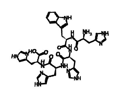 N[C@@H](Cc1c[nH]cn1)C(=O)N[C@@H](Cc1c[nH]c2ccccc12)C(=O)N[C@@H](Cc1c[nH]cn1)C(=O)N[C@@H](Cc1c[nH]cn1)C(=O)N[C@@H](Cc1c[nH]cn1)C(=O)O